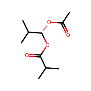 CC(=O)O[C@H](OC(=O)C(C)C)C(C)C